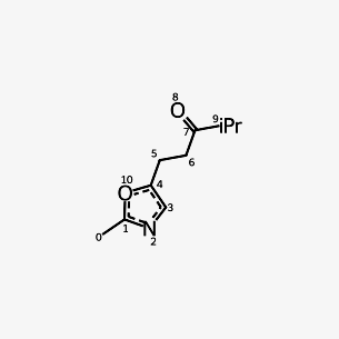 Cc1ncc(CCC(=O)C(C)C)o1